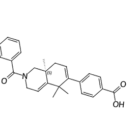 CC1(C)C(c2ccc(C(=O)O)cc2)=CC[C@]2(C)CN(C(=O)c3ccccc3)CC=C12